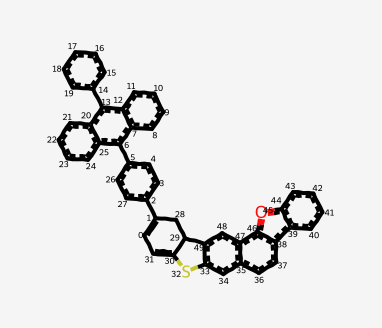 C1=C(c2ccc(-c3c4ccccc4c(-c4ccccc4)c4ccccc34)cc2)CC2C(=C1)Sc1cc3ccc4c5ccccc5oc4c3cc12